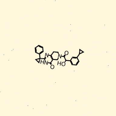 O=C(C(O)c1cccc(C2CC2)c1)N1CCc2nc(C3(c4ccccc4)CC3)[nH]c(=O)c2C1